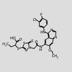 CCOc1cc2ncnc(Nc3ccc(F)c(Cl)c3)c2cc1NC(=O)Cn1nc(SC(CC)C(=O)O)sc1=S